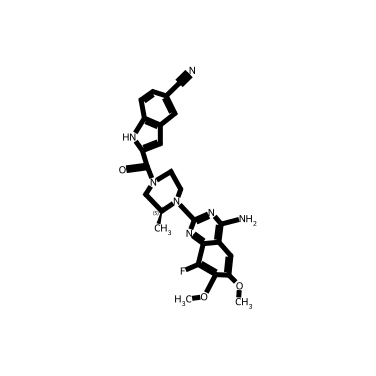 COc1cc2c(N)nc(N3CCN(C(=O)c4cc5cc(C#N)ccc5[nH]4)C[C@@H]3C)nc2c(F)c1OC